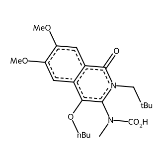 CCCCOc1c(N(C)C(=O)O)n(CC(C)(C)C)c(=O)c2cc(OC)c(OC)cc12